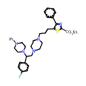 CCOC(=O)c1nc(-c2ccccc2)c(CCCN2CCN(CC(c3ccc(F)cc3)N3CCN(C(C)C)CC3)CC2)s1